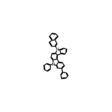 c1ccc(-c2ccc3c4c5c6ccccc6n(-c6ccc7ccccc7c6)c5ccc4n(-c4ccccc4)c3c2)cc1